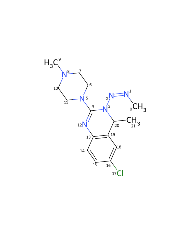 C/N=N\N1C(N2CCN(C)CC2)=Nc2ccc(Cl)cc2C1C